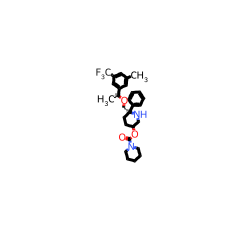 Cc1cc([C@@H](C)OC[C@@]2(c3ccccc3)CCC(OC(=O)N3CCCCC3)CN2)cc(C(F)(F)F)c1